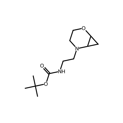 CC(C)(C)OC(=O)NCCN1CCOC2CC21